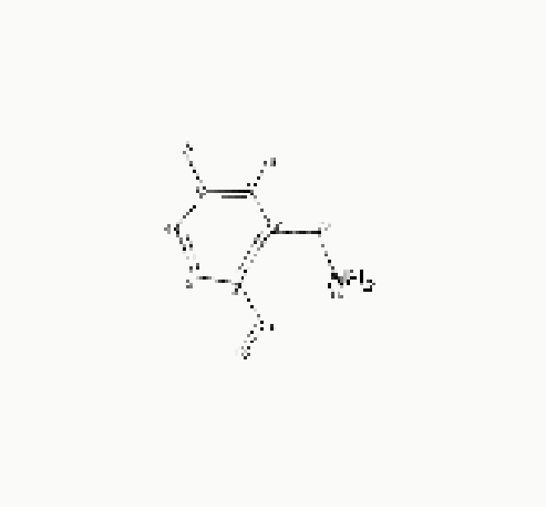 C=Cc1ccc(C)c(C)c1CN